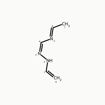 C=CN/N=C\N=C\C